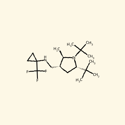 C[C@@H]1[C@@H](CNC2(C(F)(F)F)CC2)C[C@@H](C(C)(C)C)N1C(C)(C)C